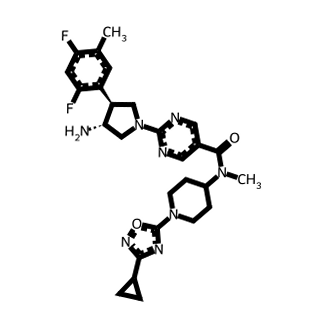 Cc1cc([C@H]2CN(c3ncc(C(=O)N(C)C4CCN(c5nc(C6CC6)no5)CC4)cn3)C[C@@H]2N)c(F)cc1F